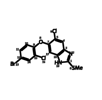 CSc1nc2cc(Cl)c(Oc3ccc(Br)cc3Cl)cc2[nH]1